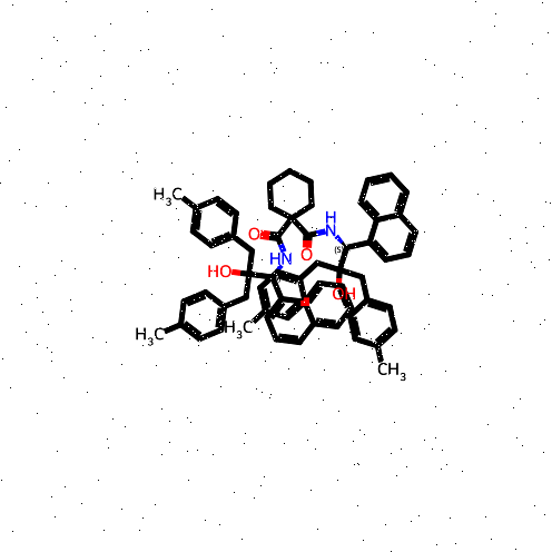 Cc1ccc(CC(O)(Cc2ccc(C)cc2)[C@@H](NC(=O)C2(C(=O)N[C@@H](c3cccc4ccccc34)C(O)(Cc3ccc(C)cc3)Cc3ccc(C)cc3)CCCCC2)c2cccc3ccccc23)cc1